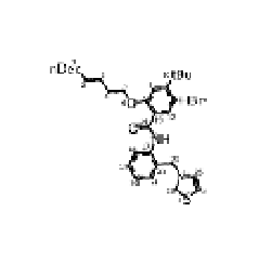 Br.CCCCCCCCCCCCCCOc1cc(C(C)(C)C)ccc1C(=O)Nc1ccccc1CN1C=CSC1